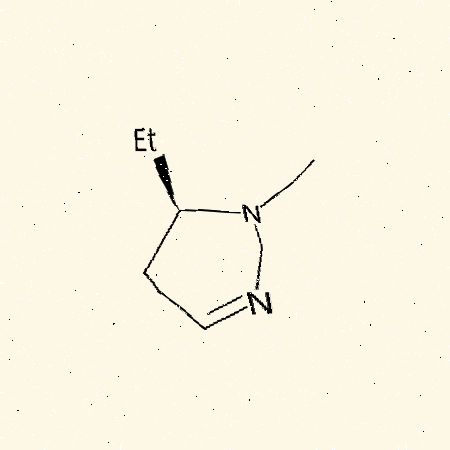 CC[C@@H]1CC=NN1C